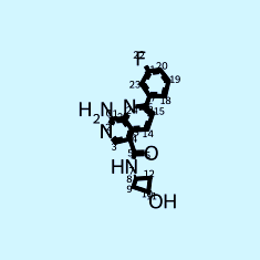 Nc1ncc(C(=O)N[C@H]2C[C@H](O)C2)c2ccc(-c3cccc(F)c3)nc12